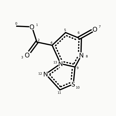 COC(=O)c1cc(=O)nc2scnn12